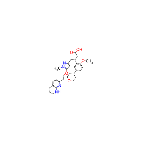 COc1ccc(C2CCOCC2)cc1C(CC(=O)O)Cc1cc(OCCc2ccc3c(n2)NCCC3)n(C)n1